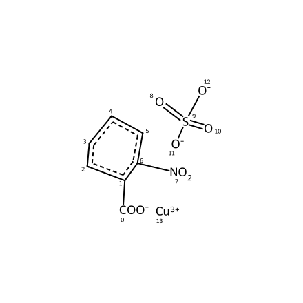 O=C([O-])c1ccccc1[N+](=O)[O-].O=S(=O)([O-])[O-].[Cu+3]